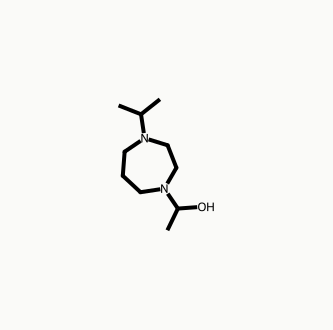 CC(C)N1CCCN(C(C)O)CC1